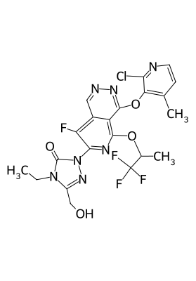 CCn1c(CO)nn(-c2nc(OC(C)C(F)(F)F)c3c(Oc4c(C)ccnc4Cl)nncc3c2F)c1=O